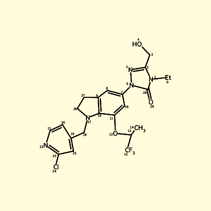 CCn1c(CO)nn(-c2cc3c(c(OC(C)C(F)(F)F)c2)N(Cc2ccnc(Cl)c2)CC3)c1=O